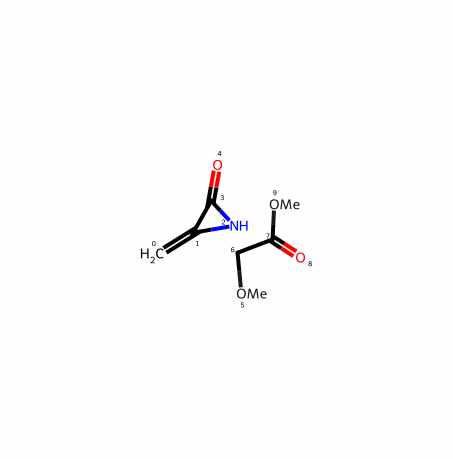 C=C1NC1=O.COCC(=O)OC